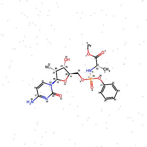 CC(C)OC(=O)[C@H](C)N[P@](=O)(OC[C@H]1O[C@@H](n2ccc(N)nc2=O)[C@H](C#N)[C@@H]1O)Oc1ccccc1